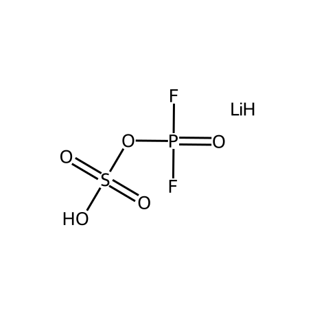 O=P(F)(F)OS(=O)(=O)O.[LiH]